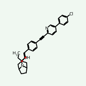 CCC1(O)CC2CCC(C1)N2CC=Cc1ccc(C#Cc2ccc(-c3ccc(Cl)cc3)cn2)cc1